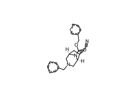 N#C/C=C1\C[C@@H]2CN(Cc3ccccc3)C[C@H]1N2C(=O)OCc1ccccc1